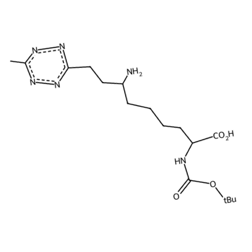 Cc1nnc(CCC(N)CCCCC(NC(=O)OC(C)(C)C)C(=O)O)nn1